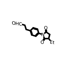 CCC1CC(=O)N(c2ccc(CCC=O)cc2)C1=O